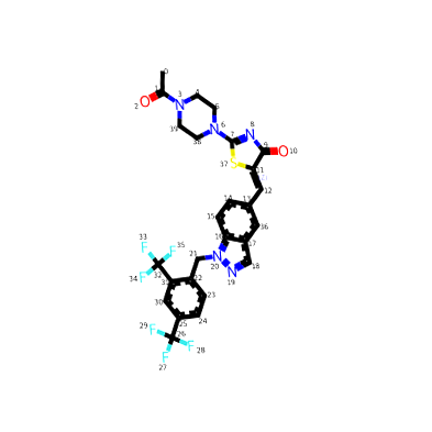 CC(=O)N1CCN(C2=NC(=O)/C(=C/c3ccc4c(cnn4Cc4ccc(C(F)(F)F)cc4C(F)(F)F)c3)S2)CC1